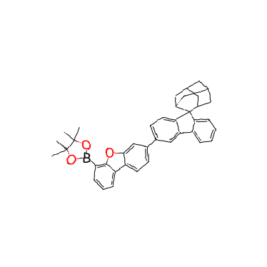 CC1(C)OB(c2cccc3c2oc2cc(-c4ccc5c(c4)-c4ccccc4C54C5CC6CC(C5)CC4C6)ccc23)OC1(C)C